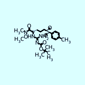 CON(C)C(=O)[C@H](CCCS(=O)(=O)c1ccc(C)cc1)NC(N)=NC(=O)OC(C)(C)C